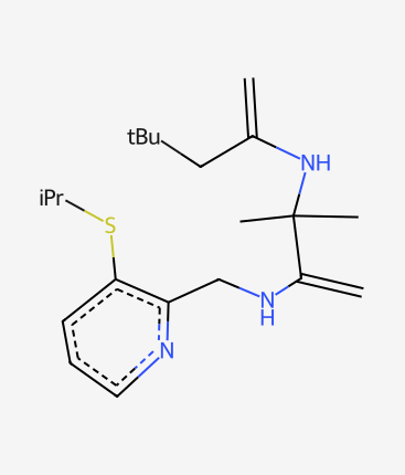 C=C(CC(C)(C)C)NC(C)(C)C(=C)NCc1ncccc1SC(C)C